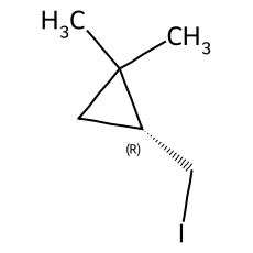 CC1(C)C[C@H]1CI